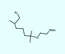 CNCCOC(C)(C)CCCC(C)CC(C)=O